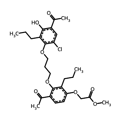 CCCc1c(O)c(C(C)=O)cc(Cl)c1OCCCOc1c(C(C)=O)ccc(OCC(=O)OC)c1CCC